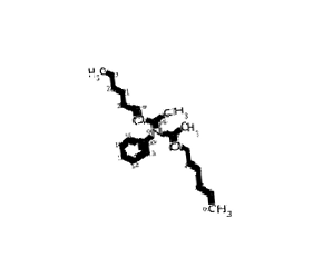 CCCCCCOC(C)N(c1ccccc1)C(C)OCCCCCC